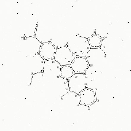 CCOc1cc(C(=O)O)nc(OCC)c1-c1cn([C@@H](C)c2ccccn2)c2ncc(-c3c(C)noc3C)cc12